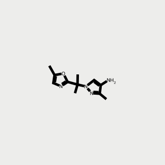 Cc1cnc(C(C)(C)n2cc(N)c(C)n2)o1